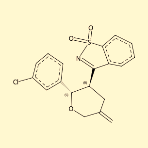 C=C1CO[C@H](c2cccc(Cl)c2)[C@@H](C2=NS(=O)(=O)c3ccccc32)C1